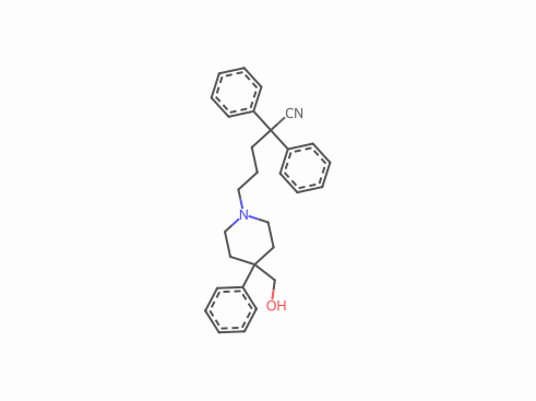 N#CC(CCCN1CCC(CO)(c2ccccc2)CC1)(c1ccccc1)c1ccccc1